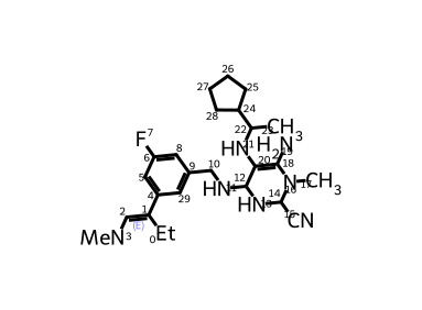 CC/C(=C\NC)c1cc(F)cc(CNC2NC(C#N)N(C)C(N)=C2NC(C)C2CCCC2)c1